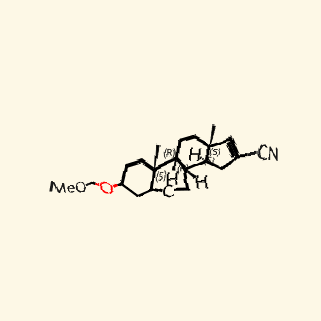 COCOC1CC[C@@]2(C)C(CC[C@@H]3[C@H]2CC[C@]2(C)C=C(C#N)C[C@@H]32)C1